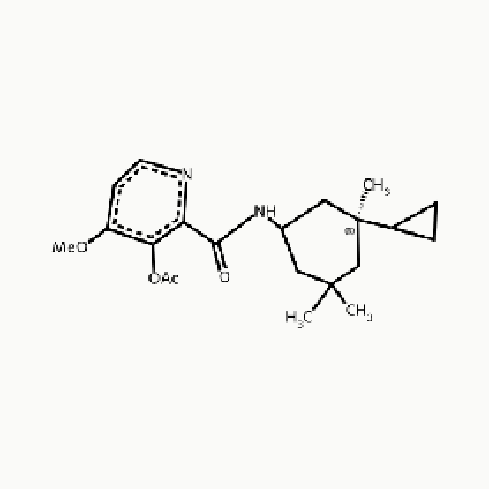 COc1ccnc(C(=O)NC2CC(C)(C)C[C@](C)(C3CC3)C2)c1OC(C)=O